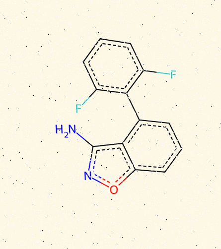 Nc1noc2cccc(-c3c(F)cccc3F)c12